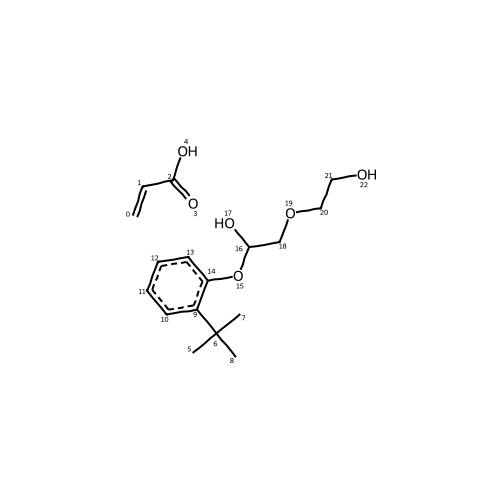 C=CC(=O)O.CC(C)(C)c1ccccc1OC(O)COCCO